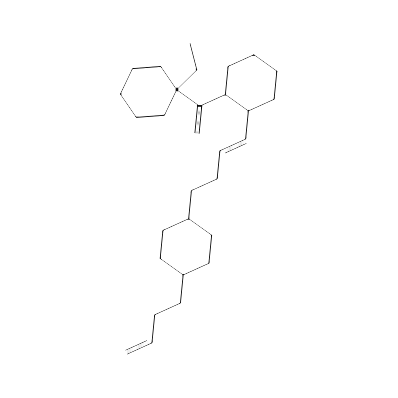 C=CCCC1CCC(CC/C=C/C2CCCCC2C(=C)C2(CC)CCCCC2)CC1